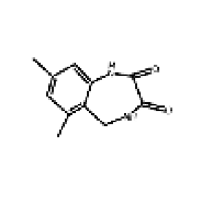 Cc1cc(C)c2c(c1)NC(=O)C(=O)NC2